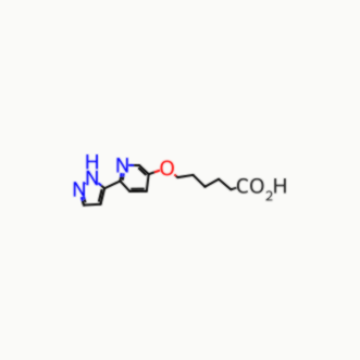 O=C(O)CCCCCOc1ccc(-c2ccn[nH]2)nc1